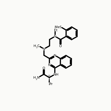 CCN(CCN(C)Cc1nc(N[C@H](C(N)=O)C(C)C)c2ccccc2n1)C(=O)c1ccccc1SC